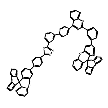 c1cc(-c2ccc3c(c2)Oc2ccccc2C32c3ccccc3-c3ccccc32)cc(-c2nc(-c3ccc(-c4cccc(-c5nnc(-c6ccc(-c7ccc8c(c7)Oc7ccccc7C87c8ccccc8-c8ccccc87)cc6)s5)c4)cc3)c3ccccc3n2)c1